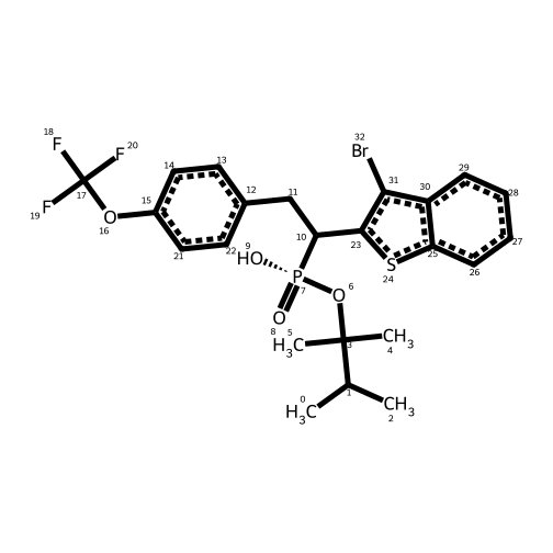 CC(C)C(C)(C)O[P@](=O)(O)C(Cc1ccc(OC(F)(F)F)cc1)c1sc2ccccc2c1Br